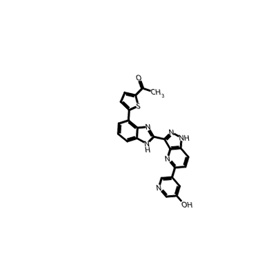 CC(=O)c1ccc(-c2cccc3[nH]c(-c4n[nH]c5ccc(-c6cncc(O)c6)nc45)nc23)s1